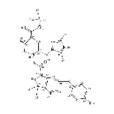 Cc1cn(C[C@H]2CN(C(=O)OC(C)(C)C)[C@H](C)CN2CC(=O)N2CC(C)(C)c3ncc(Cc4ccc(F)cc4)cc32)c(C)n1